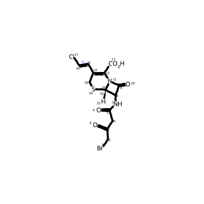 O=C(CBr)CC(=O)NC1C(=O)N2C(C(=O)O)=C(/C=C/Cl)CS[C@@H]12